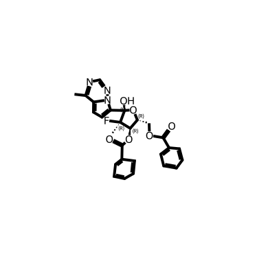 Cc1ncnn2c([C@]3(O)O[C@H](COC(=O)c4ccccc4)[C@@H](OC(=O)c4ccccc4)[C@@]3(C)F)ccc12